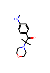 CNc1ccc(C(=O)C(C)(C)N2CCOCC2)cc1